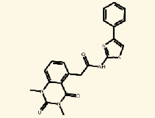 Cn1c(=O)c2c(CC(=O)Nc3nc(-c4ccccc4)cs3)cccc2n(C)c1=O